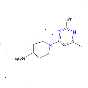 CNC1CCN(c2cc(C)nc(C(C)C)n2)CC1